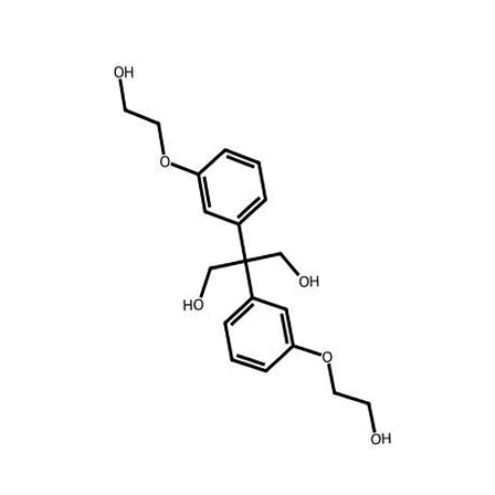 OCCOc1cccc(C(CO)(CO)c2cccc(OCCO)c2)c1